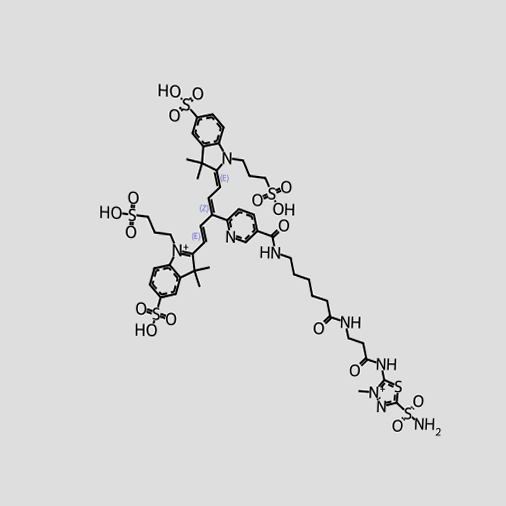 C[n+]1nc(S(N)(=O)=O)sc1NC(=O)CCNC(=O)CCCCCNC(=O)c1ccc(C(=C\C=C2\N(CCCS(=O)(=O)O)c3ccc(S(=O)(=O)O)cc3C2(C)C)/C=C/C2=[N+](CCCS(=O)(=O)O)c3ccc(S(=O)(=O)O)cc3C2(C)C)nc1